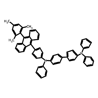 Cc1cc(C)c(-c2c3ccccc3c(-c3ccc(N(c4ccccc4)c4ccc(-c5ccc(N(c6ccccc6)c6ccccc6)cc5)cc4)cc3)c3ccccc23)c(C)c1